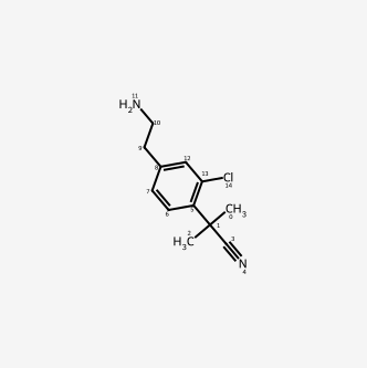 CC(C)(C#N)c1ccc(CCN)cc1Cl